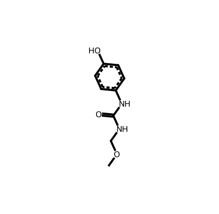 COCNC(=O)Nc1ccc(O)cc1